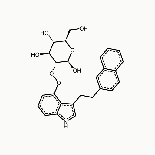 OC[C@H]1O[C@@H](O)[C@H](OOc2cccc3[nH]cc(CCc4ccc5ccccc5c4)c23)[C@@H](O)[C@@H]1O